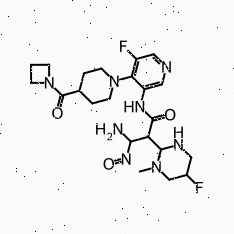 CN1CC(F)CNC1C(C(=O)Nc1cncc(F)c1N1CCC(C(=O)N2CCC2)CC1)C(N)N=O